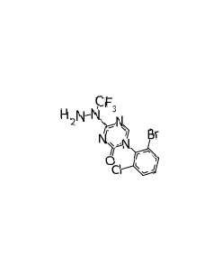 NN(c1ncn(-c2c(Cl)cccc2Br)c(=O)n1)C(F)(F)F